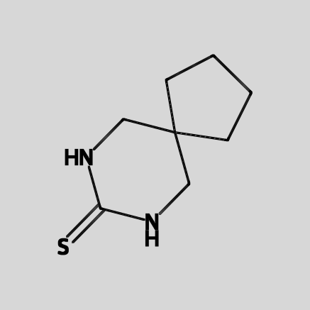 S=C1NCC2(CCCC2)CN1